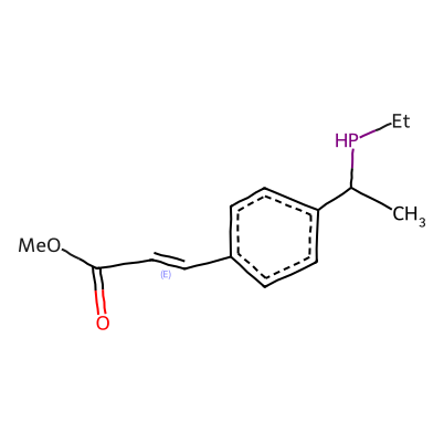 CCPC(C)c1ccc(/C=C/C(=O)OC)cc1